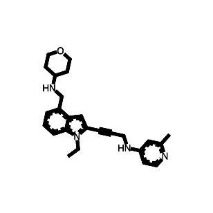 CCn1c(C#CCNc2ccnc(C)c2)cc2c(CNC3CCOCC3)cccc21